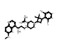 COc1ccc2nccc([C@@H](O)CC[C@@H]3CCN(C4CC(c5c(F)cccc5F)C4(C)C)C[C@@H]3C(=O)O)c2c1